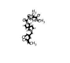 C/C=C(Cl)\C=C(/CCl)CN1CCC2(CCN(C(=O)N(C)/N=C(\C)C(=O)NC)C2)C1